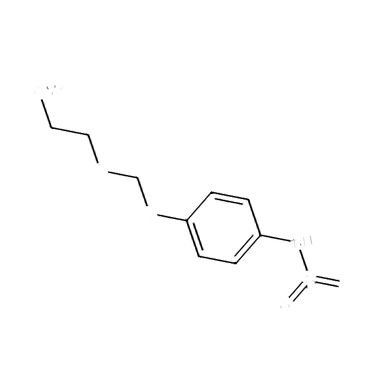 COCCOCOc1ccc(N[SH](=O)=O)cc1